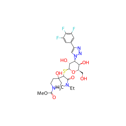 CCN(C)C(=O)C(S[C@@H]1O[C@H](CO)[C@H](O)[C@H](n2cc(-c3cc(F)c(F)c(F)c3)nn2)[C@H]1O)C1(O)CCN(C(=O)OC)CC1